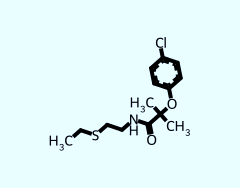 CCSCCNC(=O)C(C)(C)Oc1ccc(Cl)cc1